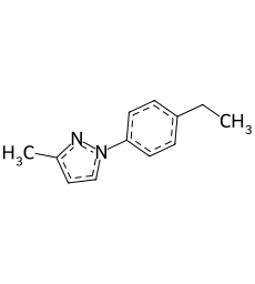 CCc1ccc(-n2ccc(C)n2)cc1